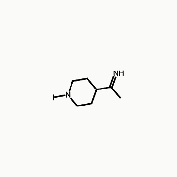 CC(=N)C1CCN(I)CC1